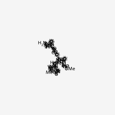 COC(=O)n1ccc(Nc2nc3ccccn3c2-c2nc(C)nc(N)n2)n1.COC(=O)n1nccc1Nc1nc2ccccn2c1-c1nc(C)nc(N)n1.Cc1nc(N)nc(-c2c(Nc3cnn(C(=O)Oc4ccccc4)c3)nc3ccccn23)n1